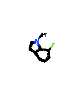 CC(C)n1ccc2cccc(F)c21